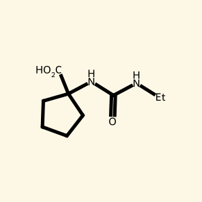 CCNC(=O)NC1(C(=O)O)CCCC1